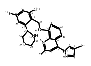 Cc1cc(-n2cc(F)cn2)c2cccc(OCc3c(Cl)cc(F)cc3[C@@H]3COCCN3)c2n1